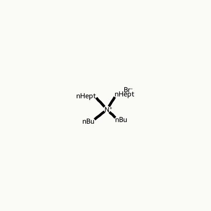 CCCCCCC[N+](CCCC)(CCCC)CCCCCCC.[Br-]